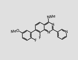 CNc1nc(-c2cccnc2)nc2c(F)c(-c3cc(OC)ccc3F)ccc12